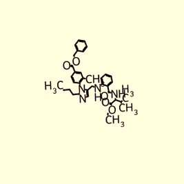 CCCCc1ncc(CNc2ccccc2C(=O)NC(C(=O)OCC)C(C)C)n1-c1ccc(C(=O)OCc2ccccc2)cc1C